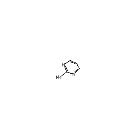 [Na][c]1ncccn1